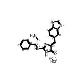 Cl.Cl.NC[C@H](NC1=N/C(=C\c2ccc3[nH]cnc3c2)C(=O)N1)c1ccccc1